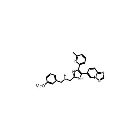 COc1cccc(CNCc2nc(-c3cccc(C)n3)c(-c3ccc4ncnn4c3)[nH]2)c1